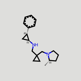 C[C@H]1CCCN1CC1(CN[C@H]2C[C@@H]2c2ccccc2)CC1